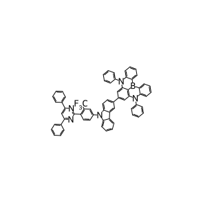 FC(F)(F)c1cc(-n2c3ccccc3c3cc(-c4cc5c6c(c4)N(c4ccccc4)c4ccccc4B6c4ccccc4N5c4ccccc4)ccc32)ccc1-c1nc(-c2ccccc2)cc(-c2ccccc2)n1